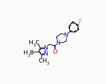 Bc1c(C)nn(CC(=O)N2CCN(c3ccc(F)cc3)CC2)c1C